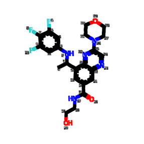 CC(Nc1cc(F)c(F)c(F)c1)c1cc(C(=O)NCCO)cc2ncc(N3CCOCC3)nc12